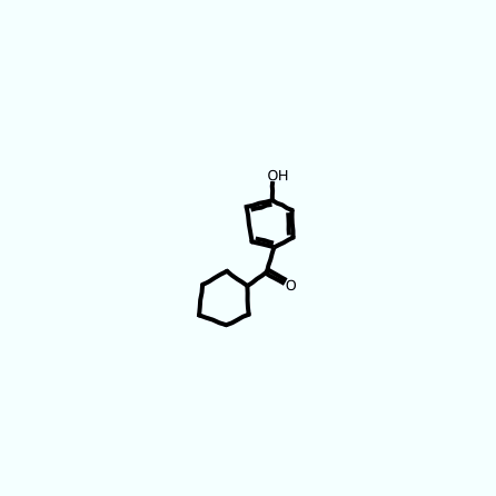 O=C(c1ccc(O)cc1)C1CCCCC1